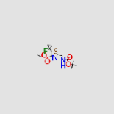 CCOC(=O)c1nc(CNC(=O)OC(C)(C)C)sc1C1(F)CC1